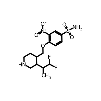 CC(C(F)F)C1CNCCC1COc1ccc(S(N)(=O)=O)cc1[N+](=O)[O-]